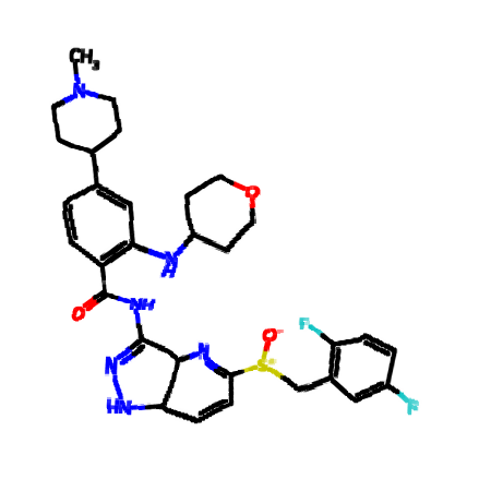 CN1CCC(c2ccc(C(=O)NC3=NNC4C=CC([S+]([O-])Cc5cc(F)ccc5F)=NC34)c(NC3CCOCC3)c2)CC1